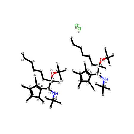 CCCCCC[Si](C)(OC(C)(C)C)[Ti+]([NH]C(C)(C)C)[C]1=C(C)C(C)=C(C)C1C.CCCCCC[Si](C)(OC(C)(C)C)[Ti+]([NH]C(C)(C)C)[C]1=C(C)C(C)=C(C)C1C.[Cl-].[Cl-]